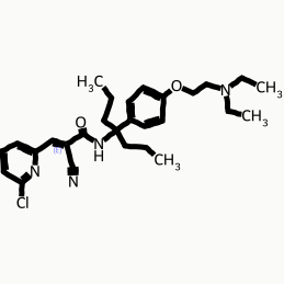 CCCC(CCC)(NC(=O)/C(C#N)=C/c1cccc(Cl)n1)c1ccc(OCCN(CC)CC)cc1